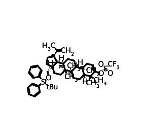 C=C(C)[C@@H]1CC[C@]2(CO[Si](c3ccccc3)(c3ccccc3)C(C)(C)C)CC[C@]3(C)[C@H](CC[C@@H]4[C@@]5(C)CC=C(OS(=O)(=O)C(F)(F)F)C(C)(C)[C@@H]5CC[C@]43C)[C@@H]12